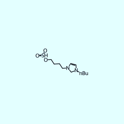 CCCCN1C=CN(CCCCO[SH](=O)=O)C1